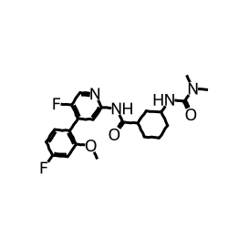 COc1cc(F)ccc1-c1cc(NC(=O)C2CCCC(NC(=O)N(C)C)C2)ncc1F